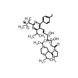 CC(C)c1nc(N(C)S(C)(=O)=O)nc(-c2ccc(F)cc2)c1/C=C/[C@H](O)C[C@@H](O)CC(=O)N1CCN=C1C1CN(C(C)C)CCN1C(C)C